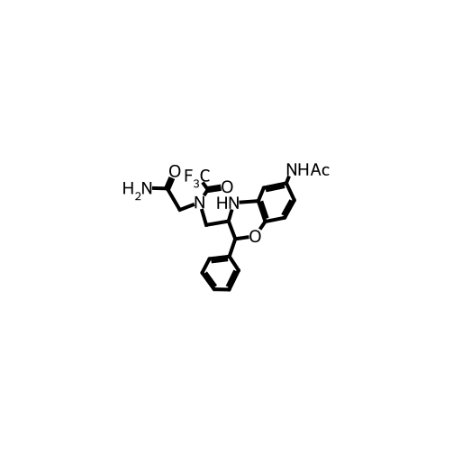 CC(=O)Nc1ccc2c(c1)NC(CN(CC(N)=O)C(=O)C(F)(F)F)C(c1ccccc1)O2